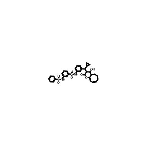 O=C1OC2=CC=CCCCC2C(O)C1C(c1cccc(NS(=O)(=O)c2cccc(NS(=O)(=O)c3ccccc3)c2)c1)C1CC1